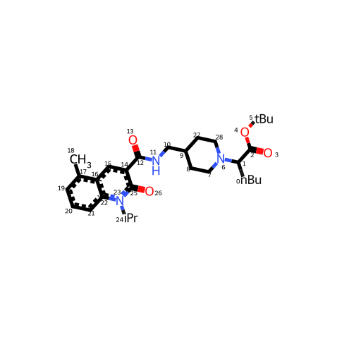 CCCCC(C(=O)OC(C)(C)C)N1CCC(CNC(=O)c2cc3c(C)cccc3n(C(C)C)c2=O)CC1